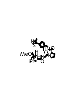 COCC(=O)N[C@@H](CC(C)C)C(=O)NCC(=O)N1CCC[C@H]1C(=O)NCc1ccc(-c2scnc2C)cc1